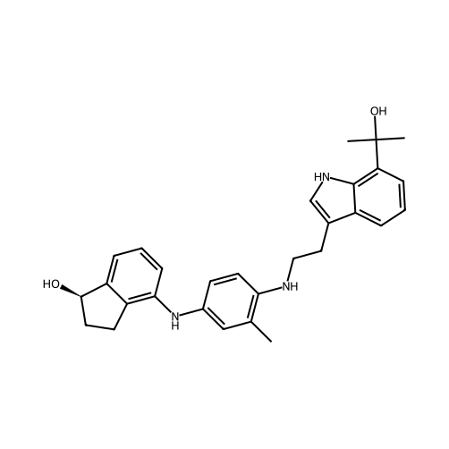 Cc1cc(Nc2cccc3c2CC[C@H]3O)ccc1NCCc1c[nH]c2c(C(C)(C)O)cccc12